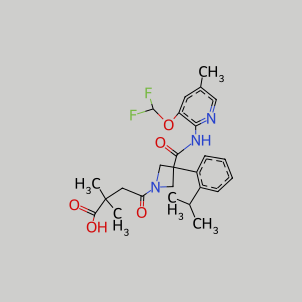 Cc1cnc(NC(=O)C2(c3ccccc3C(C)C)CN(C(=O)CC(C)(C)C(=O)O)C2)c(OC(F)F)c1